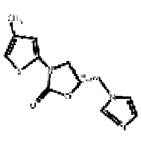 Cc1csc(N2C[C@H](Cn3ccnc3)OC2=O)c1